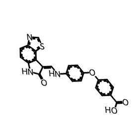 O=C1Nc2ccc3ncsc3c2/C1=C/Nc1ccc(Oc2ccc(C(=O)O)cc2)cc1